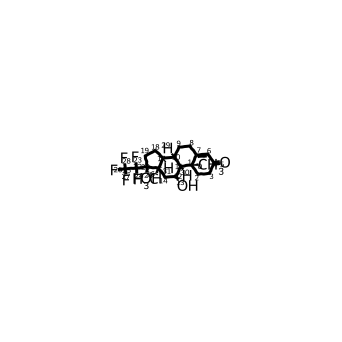 C[C@]12CCC(=O)C=C1CC[C@@H]1[C@H]2C(O)C[C@@]2(C)[C@H]1CCC2(O)C(F)(F)C(F)(F)F